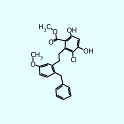 COC(=O)c1c(O)cc(O)c(Cl)c1CCc1cc(OC)ccc1Cc1ccccc1